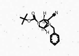 CC(C)(C)OC(=O)N1C[C@@H]2C[C@H]1C(C#N)N2Cc1ccccc1